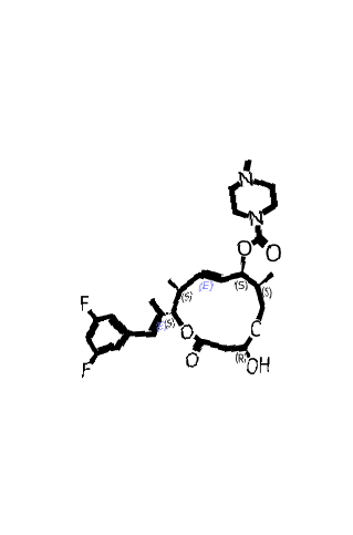 C/C(=C\c1cc(F)cc(F)c1)[C@H]1OC(=O)C[C@H](O)CC[C@H](C)[C@H](OC(=O)N2CCN(C)CC2)/C=C/[C@@H]1C